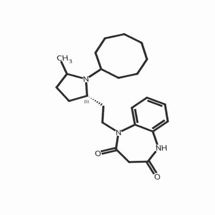 CC1CC[C@@H](CCN2C(=O)CC(=O)Nc3ccccc32)N1C1CCCCCCC1